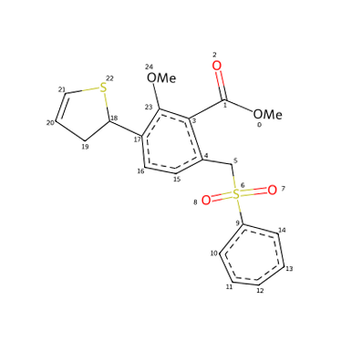 COC(=O)c1c(CS(=O)(=O)c2ccccc2)ccc(C2CC=CS2)c1OC